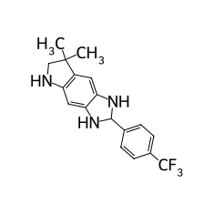 CC1(C)CNc2cc3c(cc21)NC(c1ccc(C(F)(F)F)cc1)N3